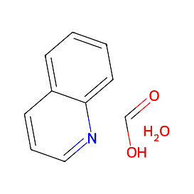 O.O=CO.c1ccc2ncccc2c1